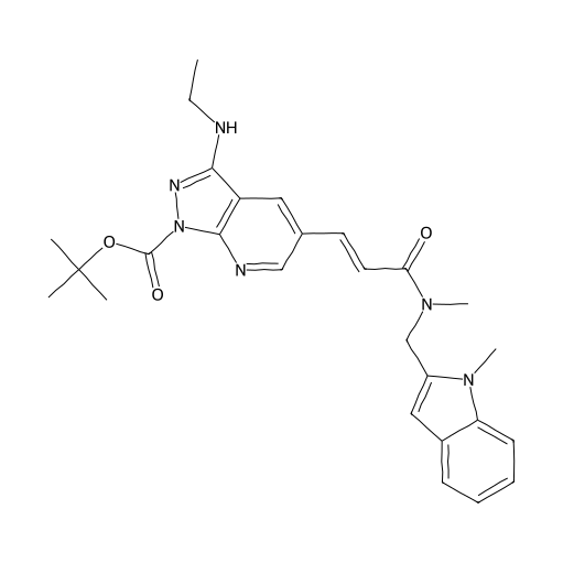 CCNc1nn(C(=O)OC(C)(C)C)c2ncc(/C=C/C(=O)N(C)Cc3cc4ccccc4n3C)cc12